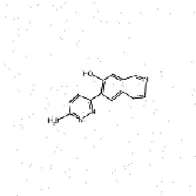 Bc1ccc(-c2cc3ccncc3cc2O)nn1